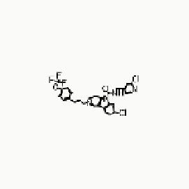 O=C(NCc1ccnc(Cl)c1)n1c2c(c3ccc(Cl)cc31)CN(CC=Cc1ccc(OC(F)(F)F)cc1)CC2